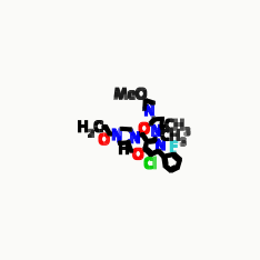 C=CC(=O)N1CCN2C(=O)c3c(N4C[C@H](N5CC(OC)C5)CC4(C)C)nc(-c4ccccc4F)c(Cl)c3OC[C@H]2C1